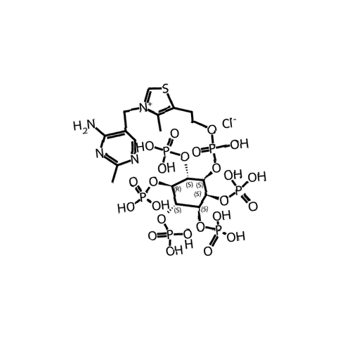 Cc1ncc(C[n+]2csc(CCOP(=O)(O)O[C@@H]3[C@@H](OP(=O)(O)O)[C@H](OP(=O)(O)O)[C@@H](OP(=O)(O)O)[C@H](OP(=O)(O)O)[C@@H]3OP(=O)(O)O)c2C)c(N)n1.[Cl-]